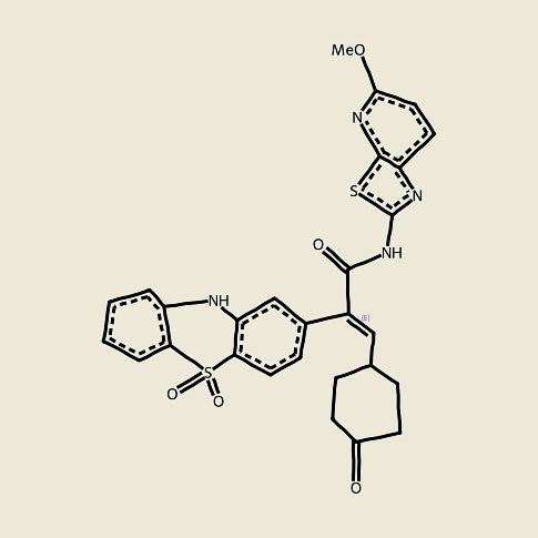 COc1ccc2nc(NC(=O)/C(=C/C3CCC(=O)CC3)c3ccc4c(c3)Nc3ccccc3S4(=O)=O)sc2n1